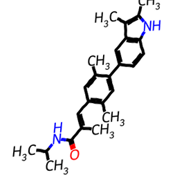 C/C(=C\c1cc(C)c(-c2ccc3[nH]c(C)c(C)c3c2)cc1C)C(=O)NC(C)C